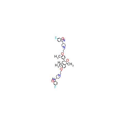 Cc1cc(C(C)C(=O)C(C)c2ccc(OCCCN3CCC(c4noc5cc(F)ccc45)CC3)c(C)c2)ccc1OCCCN1CCC(c2noc3cc(F)ccc23)CC1